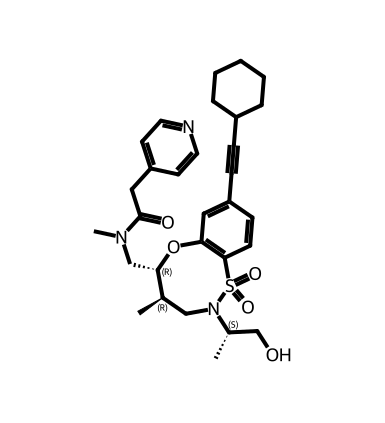 C[C@@H]1CN([C@@H](C)CO)S(=O)(=O)c2ccc(C#CC3CCCCC3)cc2O[C@H]1CN(C)C(=O)Cc1ccncc1